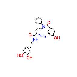 N[C@@H](Cc1cn(C(=O)c2ccc(O)cc2)c2ccccc12)C(=O)NCCc1ccc(O)c(O)c1